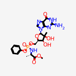 COC(=O)[C@H](C)NP(=O)(OC[C@H]1O[C@@H](n2cnc3c(=O)[nH]c(N)nc32)C(C)(O)[C@H]1O)Oc1ccccc1